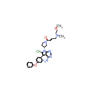 COCCN(C)C/C=C/C(=O)N1CC[C@@H](n2c(Cl)c(-c3ccc(Oc4ccccc4)cc3)c3c(N)ncnc32)C1